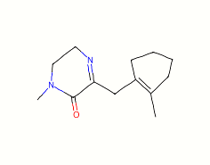 CC1=C(CC2=NCCN(C)C2=O)CCCC1